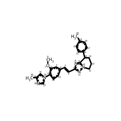 COc1cc(C=Cc2nc3n(n2)CCCC3c2ccc(C)cc2)ccc1-n1cnc(C)c1